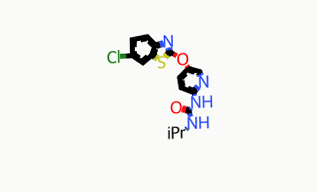 CC(C)NC(=O)Nc1ccc(Oc2nc3ccc(Cl)cc3s2)cn1